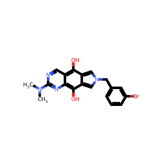 CN(C)c1ncc2c(O)c3cn(Cc4cccc(Br)c4)cc3c(O)c2n1